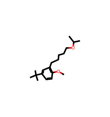 COc1ccc(C(C)(C)C)cc1CCCCCOC(C)C